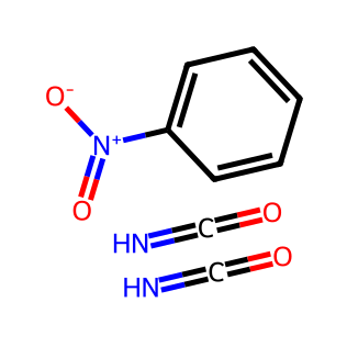 N=C=O.N=C=O.O=[N+]([O-])c1ccccc1